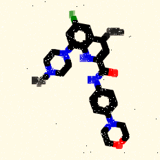 COC1C=C(C(=O)Nc2ccc(N3CCOCC3)cc2)Nc2c1cc(F)cc2N1CCN(C)CC1